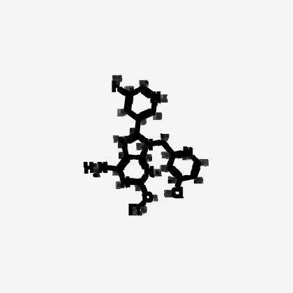 CCOc1nc(N)c2nc(-c3cncc(F)c3)n(Cc3cc(Cl)ccn3)c2n1